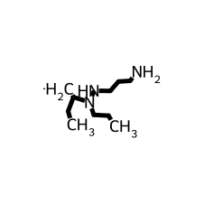 [CH2]C(CC)N(CCC)NCCCN